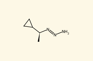 C[C@H](N=NN)C1CC1